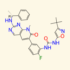 C[C@@H](Nc1ncc2cc(-c3ccc(F)c(NC(=O)Nc4cc(C(C)(C)C)no4)c3)c(=O)n(C)c2n1)c1ccccc1